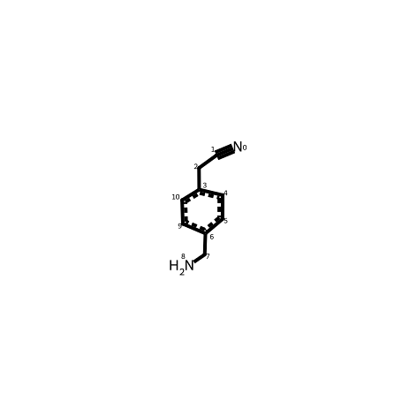 N#CCc1ccc(CN)cc1